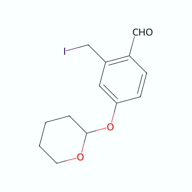 O=Cc1ccc(OC2CCCCO2)cc1CI